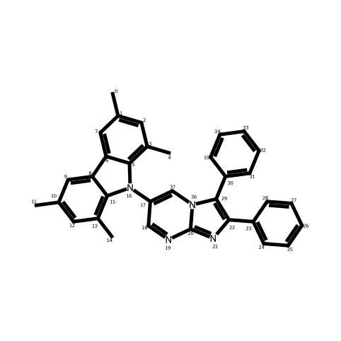 Cc1cc(C)c2c(c1)c1cc(C)cc(C)c1n2-c1cnc2nc(-c3ccccc3)c(-c3ccccc3)n2c1